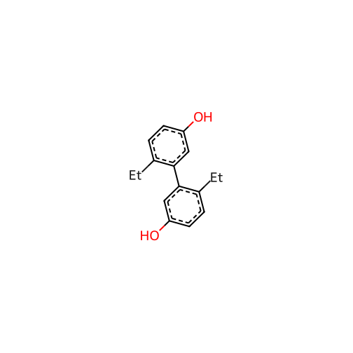 CCc1ccc(O)cc1-c1cc(O)ccc1CC